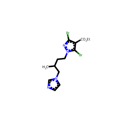 CCOC(=O)c1c(Br)nn(CCC(C)Cn2ccnc2)c1Br